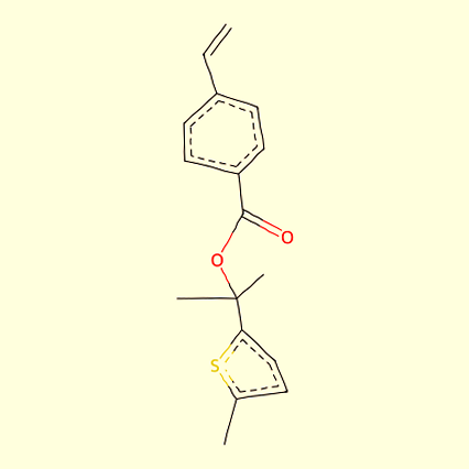 C=Cc1ccc(C(=O)OC(C)(C)c2ccc(C)s2)cc1